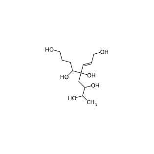 CC(O)C(O)CC(O)(C=CCO)C(O)CCCO